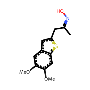 COc1cc2cc(C/C(C)=N\O)sc2cc1OC